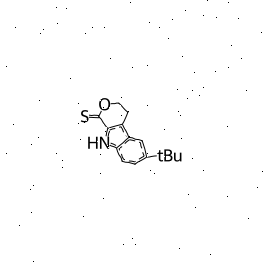 CC(C)(C)c1ccc2[nH]c3c(c2c1)CCOC3=S